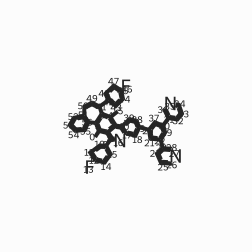 Cc1c2c(c(C)c3c1c(-c1ccc(F)cc1)nc1cc(-c4cc(-c5cccnc5)cc(-c5cccnc5)c4)ccc13)C(c1ccc(F)cc1)=C=Cc1ccccc1-2